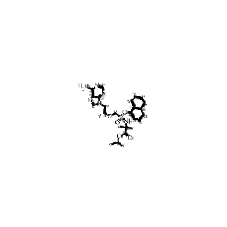 CC(C)OC(=O)C(C)(C)NP(=O)(CO[C@H](C)Cn1cnc2c(N)ncnc21)Oc1cccc2ccccc12